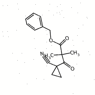 CC(C)(C(=O)OCc1ccccc1)C(=O)C1(C#N)CC1